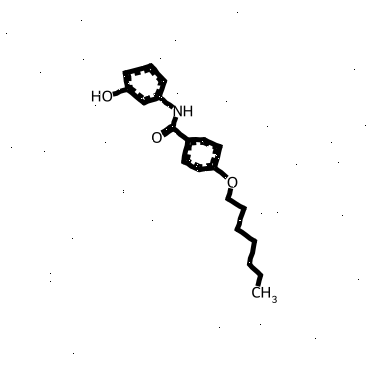 CCCCCCCOc1ccc(C(=O)Nc2cccc(O)c2)cc1